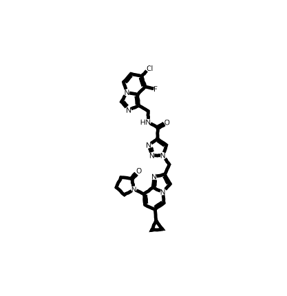 O=C(NCc1ncn2ccc(Cl)c(F)c12)c1cn(Cc2cn3cc(C4CC4)cc(N4CCCC4=O)c3n2)nn1